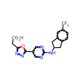 O=C(O)Cc1nnc(-c2cnc(NC3Cc4ccc(C(F)(F)F)cc4C3)nc2)o1